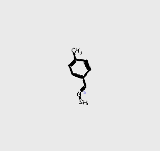 Cc1ccc(/C=N/S)cc1